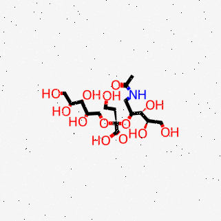 CC(=O)NCC(O[C@@](CCO)(OCC(O)[C@H](O)C(O)CO)C(=O)O)[C@H](O)[C@H](O)CO